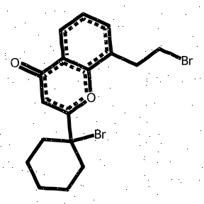 O=c1cc(C2(Br)CCCCC2)oc2c(CCBr)cccc12